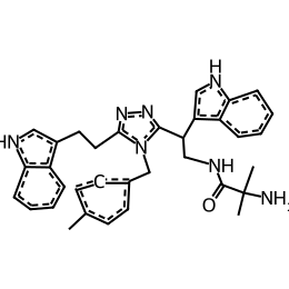 Cc1ccc(Cn2c(CCc3c[nH]c4ccccc34)nnc2C(CNC(=O)C(C)(C)N)c2c[nH]c3ccccc23)cc1